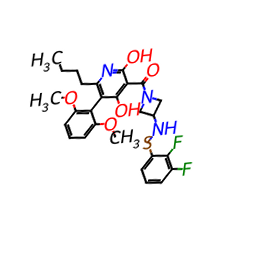 CCCCc1nc(O)c(C(=O)N2CC(NSc3cccc(F)c3F)C2)c(O)c1-c1c(OC)cccc1OC